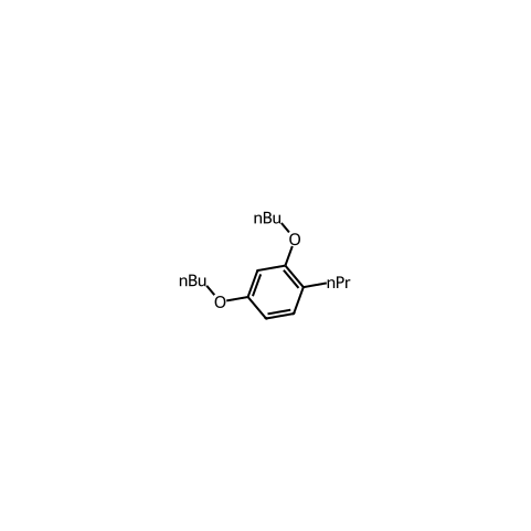 [CH2]CCc1ccc(OCCCC)cc1OCCCC